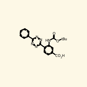 CC(C)(C)OC(=O)Nc1cc(C(=O)O)ccc1-c1nnc(-c2ccccc2)nn1